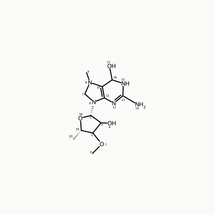 COC1C(O)[C@@H](N2CN(C)C3=C2N=C(N)NC3O)O[C@H]1C